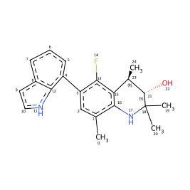 Cc1cc(-c2cccc3cc[nH]c23)c(F)c2c1NC(C)(C)[C@@H](O)[C@@H]2C